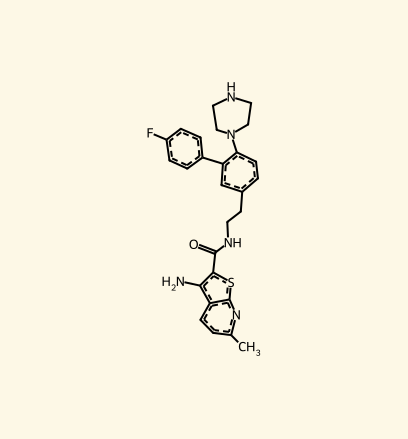 Cc1ccc2c(N)c(C(=O)NCCc3ccc(N4CCNCC4)c(-c4ccc(F)cc4)c3)sc2n1